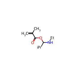 C=C(C)C(=O)OC(NCC)C(C)C